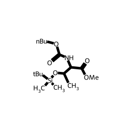 CCCCOC(=O)NC(C(=O)OC)C(C)O[Si](C)(C)C(C)(C)C